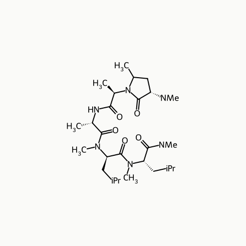 CNC(=O)[C@H](CC(C)C)N(C)C(=O)[C@@H](CC(C)C)N(C)C(=O)[C@H](C)NC(=O)[C@@H](C)N1C(=O)[C@@H](NC)CC1C